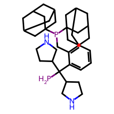 PC(c1ccccc1CP(C12CC3CC(CC(C3)C1)C2)C12CC3CC(CC(C3)C1)C2)(C1CCNC1)C1CCNC1